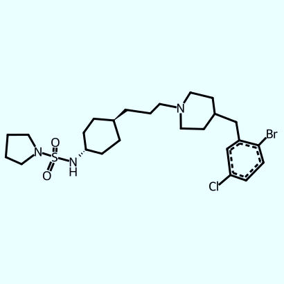 O=S(=O)(N[C@H]1CC[C@H](CCCN2CCC(Cc3cc(Cl)ccc3Br)CC2)CC1)N1CCCC1